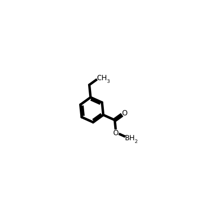 BOC(=O)c1cccc(CC)c1